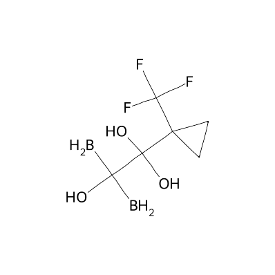 BC(B)(O)C(O)(O)C1(C(F)(F)F)CC1